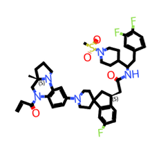 C=CC(=O)N1C[C@]2(C)CCCN2c2cc(N3CCC4(CC3)C[C@@H](CC(=O)NC(Cc3ccc(F)c(F)c3)C3CCN(S(C)(=O)=O)CC3)c3ccc(F)cc34)ccc21